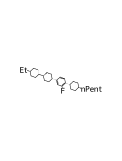 CCCCC[C@H]1CC[C@H](c2ccc([C@H]3CC[C@H]([C@H]4CC[C@H](CC)CC4)CC3)cc2F)CC1